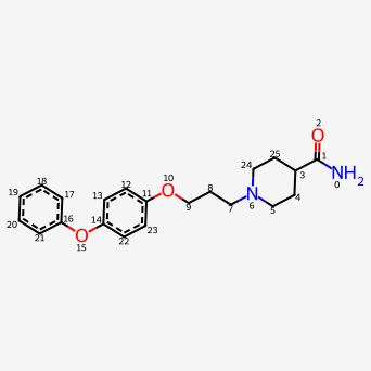 NC(=O)C1CCN(CCCOc2ccc(Oc3ccccc3)cc2)CC1